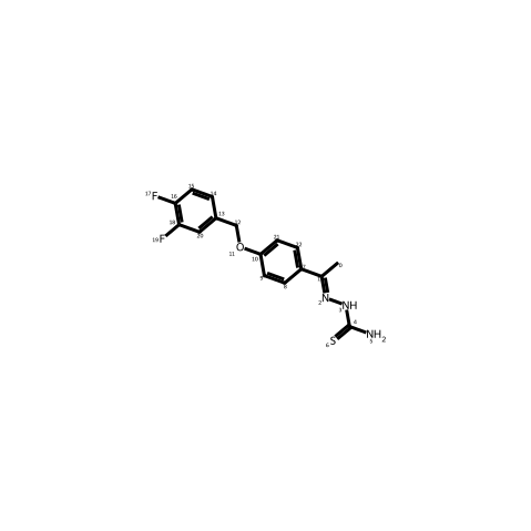 C/C(=N\NC(N)=S)c1ccc(OCc2ccc(F)c(F)c2)cc1